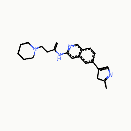 C=C(CCN1CCCCC1)Nc1cc2cc(C3=CN=C(C)C3)ccc2cn1